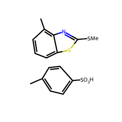 CSc1nc2c(C)cccc2s1.Cc1ccc(S(=O)(=O)O)cc1